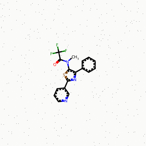 CN(C(=O)C(F)(F)F)c1sc(-c2cccnc2)nc1-c1ccccc1